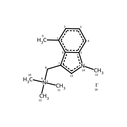 Cc1cccc2c1c(C[N+](C)(C)C)cn2C.[I-]